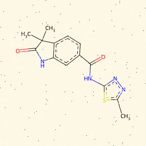 Cc1nnc(NC(=O)c2ccc3c(c2)NC(=O)C3(C)C)s1